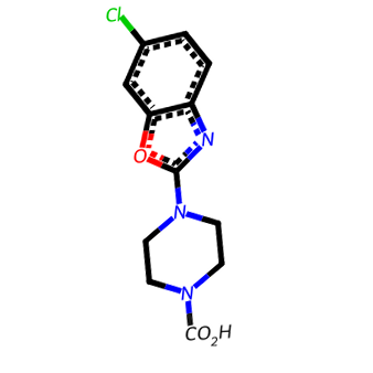 O=C(O)N1CCN(c2nc3ccc(Cl)cc3o2)CC1